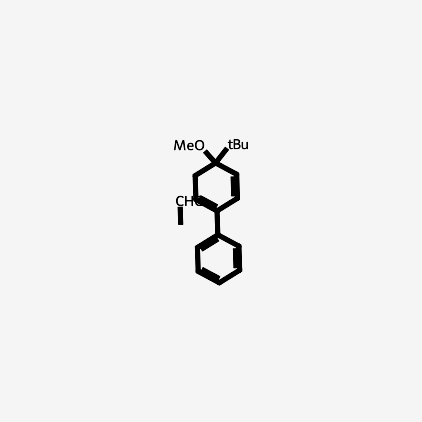 CC=O.COC1(C(C)(C)C)C=CC(c2ccccc2)=CC1